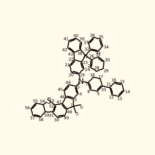 CC1(C)c2cc(N(C3=CC=C(c4ccccc4)CC3)c3ccc4c(c3)C(C3=CCCC=C3)(c3ccccc3)c3ccccc3-4)ccc2-c2c1ccc1c2SC2C=CC=CC12